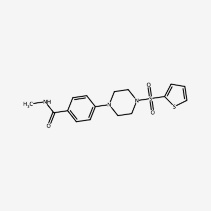 CNC(=O)c1ccc(N2CCN(S(=O)(=O)c3cccs3)CC2)cc1